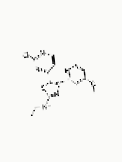 CCNc1nc(-c2cc(OC)ccn2)c(-c2ccnc(Cl)n2)s1